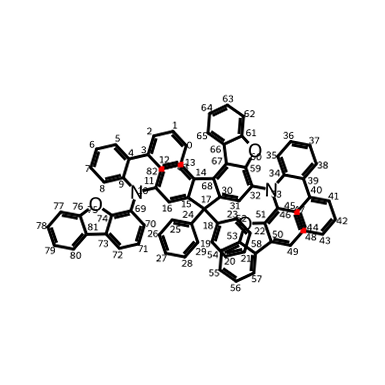 c1ccc(-c2ccccc2N(c2ccc3c(c2)C(c2ccccc2)(c2ccccc2)c2cc(N(c4ccccc4-c4ccccc4)c4cccc5c4oc4ccccc45)c4oc5ccccc5c4c2-3)c2cccc3c2oc2ccccc23)cc1